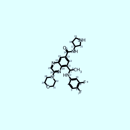 CC(Nc1ccc(F)c(F)c1)c1cc(C(=O)NC2CCNC2)cc2ncc(N3CCOCC3)nc12